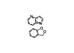 c1ccc2c(c1)COO2.c1cnc2ccnn2c1